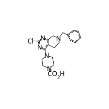 O=C(O)N1CCN(c2nc(Cl)nc3c2CCN(Cc2ccccc2)C3)CC1